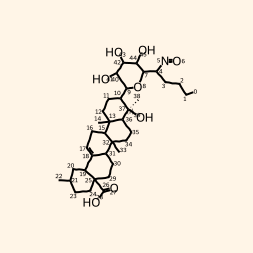 CCCCC(N=O)C1OC(C2CCC3(C)C4CC=C5C6CC(C)CCC6(C(=O)O)CCC5C4(C)CCC3[C@]2(C)O)C(O)C(O)C1O